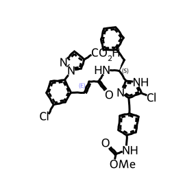 COC(=O)Nc1ccc(-c2nc([C@H](Cc3ccccc3)NC(=O)/C=C/c3cc(Cl)ccc3-n3cc(C(=O)O)cn3)[nH]c2Cl)cc1